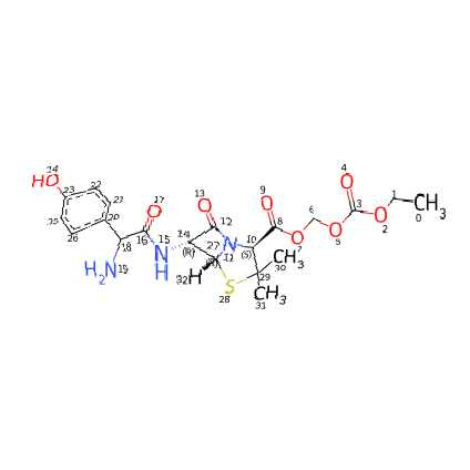 CCOC(=O)OCOC(=O)[C@@H]1N2C(=O)[C@@H](NC(=O)C(N)c3ccc(O)cc3)[C@H]2SC1(C)C